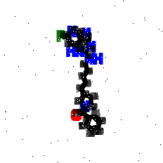 N#C/N=C(/NCCCCCC1CCN(C(=O)c2ccccc2)C1)Nc1ccnc(F)c1